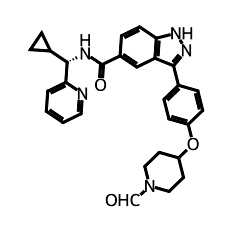 O=CN1CCC(Oc2ccc(-c3n[nH]c4ccc(C(=O)N[C@H](c5ccccn5)C5CC5)cc34)cc2)CC1